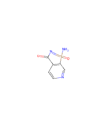 NS1(=O)=NC(=O)c2ccncc21